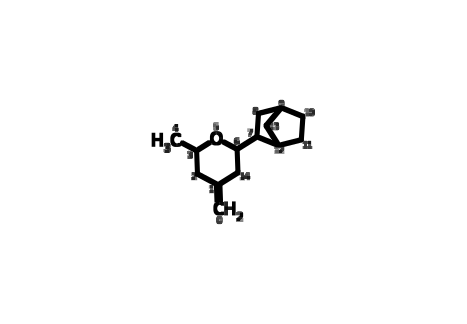 C=C1CC(C)OC(C2CC3CCC2C3)C1